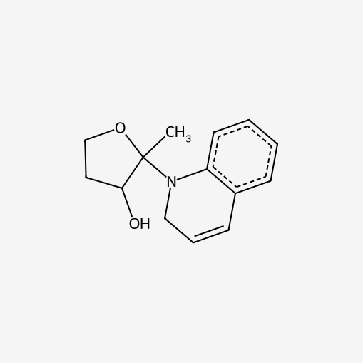 CC1(N2CC=Cc3ccccc32)OCCC1O